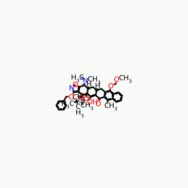 COCOc1c2c(c(C)c3ccccc13)C(=O)C1=C(O)[C@]3(O[Si](C)(C)C(C)(C)C)C(=O)c4c(OCc5ccccc5)noc4[C@@H](N(C)C)[C@@H]3C[C@@H]1C2